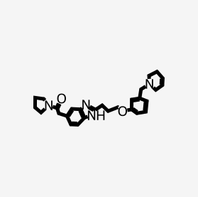 O=C(Cc1ccc2[nH]c(CCCOc3cccc(CN4CC=CCC4)c3)nc2c1)N1CCCC1